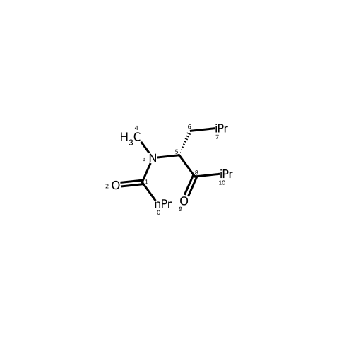 CCCC(=O)N(C)[C@H](CC(C)C)C(=O)C(C)C